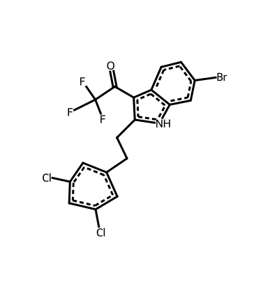 O=C(c1c(CCc2cc(Cl)cc(Cl)c2)[nH]c2cc(Br)ccc12)C(F)(F)F